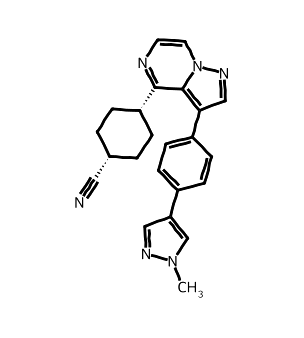 Cn1cc(-c2ccc(-c3cnn4ccnc([C@H]5CC[C@@H](C#N)CC5)c34)cc2)cn1